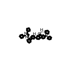 CC1(C)c2cc(-c3ccc4c(c3)c3ccccc3n4-c3cc(-c4ccccc4)nc(-c4ccccc4)n3)ccc2-c2ccc(N(c3ccccc3)c3ccccc3)cc21